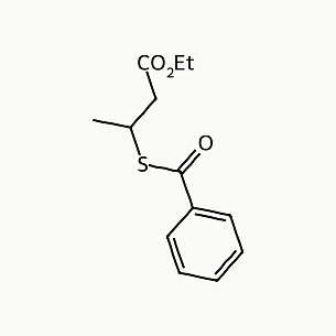 CCOC(=O)CC(C)SC(=O)c1ccccc1